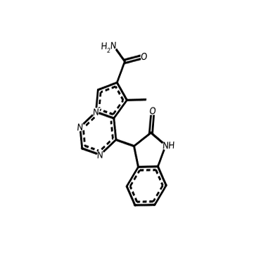 Cc1c(C(N)=O)cn2ncnc(C3C(=O)Nc4ccccc43)c12